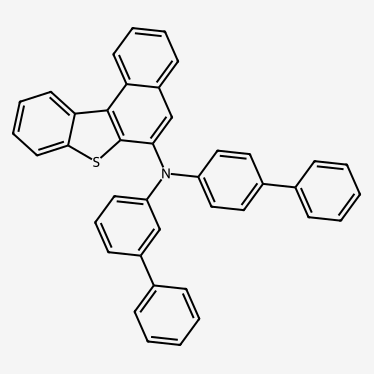 c1ccc(-c2ccc(N(c3cccc(-c4ccccc4)c3)c3cc4ccccc4c4c3sc3ccccc34)cc2)cc1